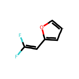 FC(F)=Cc1c[c]co1